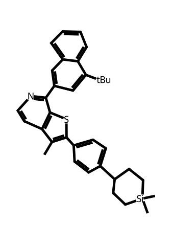 Cc1c(-c2ccc(C3CC[Si](C)(C)CC3)cc2)sc2c(-c3cc(C(C)(C)C)c4ccccc4c3)nccc12